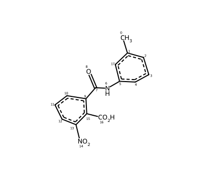 Cc1cccc(NC(=O)c2cccc([N+](=O)[O-])c2C(=O)O)c1